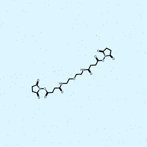 O=C(CCC(=O)ON1C(=O)CCC1=O)NCCOCCNC(=O)CCC(=O)ON1C(=O)CCC1=O